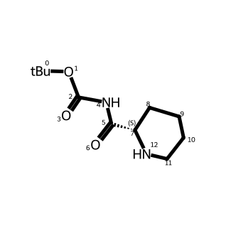 CC(C)(C)OC(=O)NC(=O)[C@@H]1CCCCN1